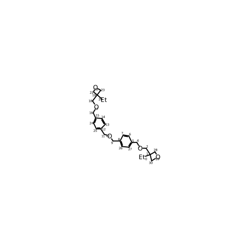 CCC1(COCc2ccc(COCc3ccc(COCC4(CC)COC4)cc3)cc2)COC1